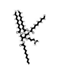 CCCCCCCCCC(=O)OCC(COC(=O)CCCCCCCCC)C(OCCCN(C)C)C(COC(=O)CCCCCCCCC)OC(=O)CCCCCCCCC